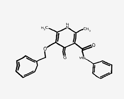 Cc1[nH]c(C)c(C(=O)Nc2ccccc2)c(=O)c1OCc1ccccc1